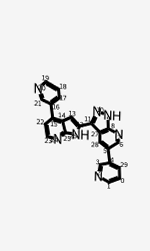 c1cncc(-c2cnc3[nH]nc(-c4cc5c(-c6cccnc6)ccnc5[nH]4)c3c2)c1